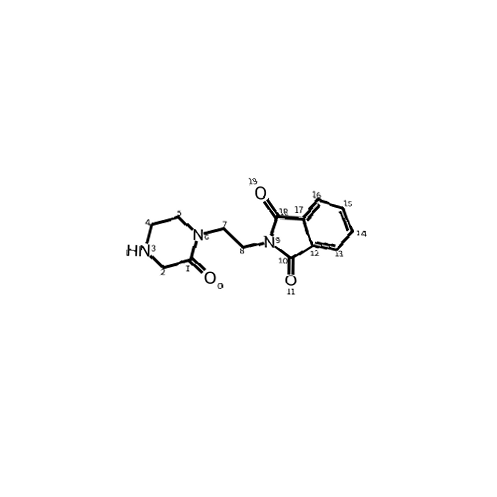 O=C1CNCCN1CCN1C(=O)c2ccccc2C1=O